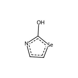 Oc1ncc[se]1